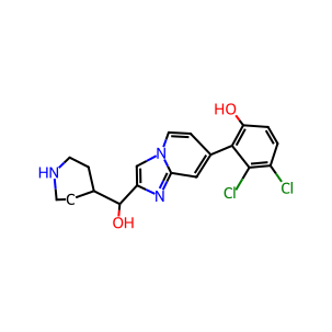 Oc1ccc(Cl)c(Cl)c1-c1ccn2cc(C(O)C3CCNCC3)nc2c1